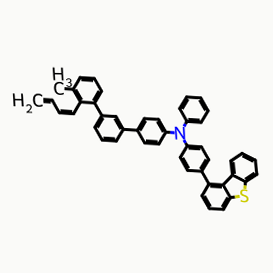 C=C/C=C\c1c(C)cccc1-c1cccc(-c2ccc(N(c3ccccc3)c3ccc(-c4cccc5sc6ccccc6c45)cc3)cc2)c1